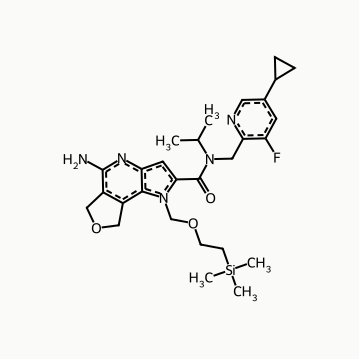 CC(C)N(Cc1ncc(C2CC2)cc1F)C(=O)c1cc2nc(N)c3c(c2n1COCC[Si](C)(C)C)COC3